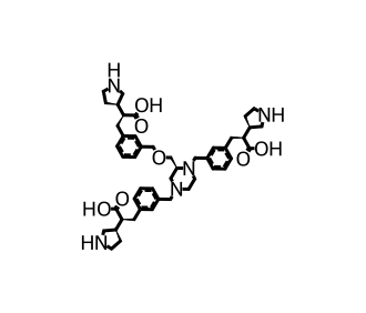 O=C(O)[C@@H](Cc1cccc(COC[C@@H]2CN(Cc3cccc(C[C@H](C(=O)O)[C@H]4CCNC4)c3)CCN2Cc2cccc(C[C@H](C(=O)O)[C@H]3CCNC3)c2)c1)[C@H]1CCNC1